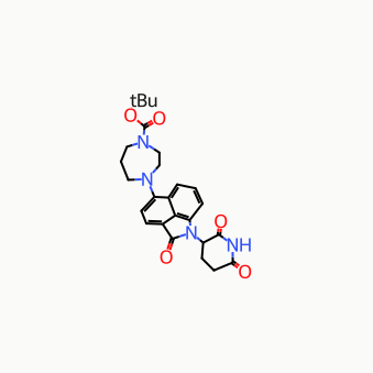 CC(C)(C)OC(=O)N1CCCN(c2ccc3c4c(cccc24)N(C2CCC(=O)NC2=O)C3=O)CC1